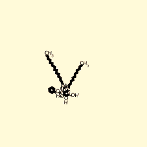 CCCCCCCCCCCCCCCCCCNC(=O)N(CCCCCCCCCCCCCC)[C@@H]1O[C@H](CO)[C@H](O)[C@H](O)[C@@H]1NC(=O)OCc1ccccc1